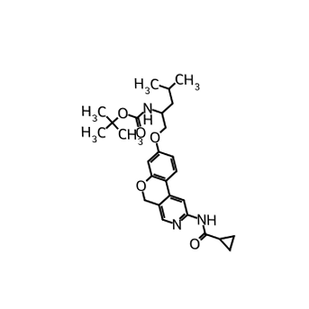 CC(C)CC(COc1ccc2c(c1)OCc1cnc(NC(=O)C3CC3)cc1-2)NC(=O)OC(C)(C)C